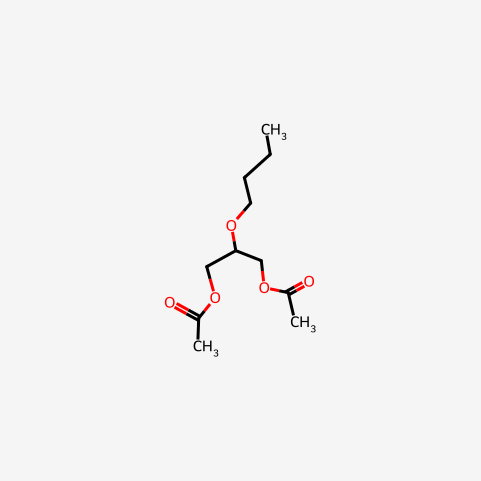 CCCCOC(COC(C)=O)COC(C)=O